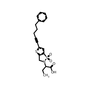 CCC(C(=O)O)N1Cc2sc(C#CCCCc3ccccc3)cc2S1(=O)=O